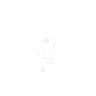 N[C@H](Nc1cc(F)c(S(=O)(=O)Nc2nccs2)cc1F)c1ccccc1F